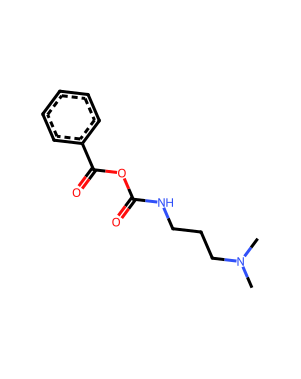 CN(C)CCCNC(=O)OC(=O)c1ccccc1